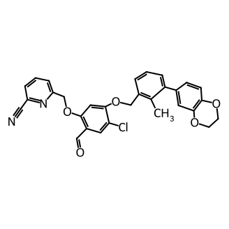 Cc1c(COc2cc(OCc3cccc(C#N)n3)c(C=O)cc2Cl)cccc1-c1ccc2c(c1)OCCO2